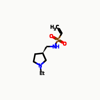 C=CS(=O)(=O)NC[C@H]1CCN(CC)C1